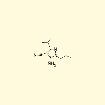 CCCn1nc(C(C)C)c(C#N)c1N